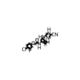 N#CC1CNC(N[C@H]2CC(NC(=O)COc3ccc(Cl)c(F)c3)C3CCC32)CN1